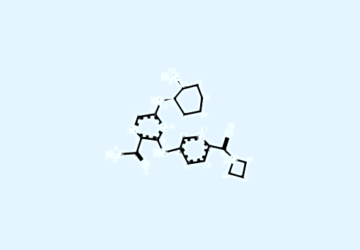 NC(=O)c1ncc(N[C@@H]2CCCC[C@@H]2N)nc1Nc1ccc(C(=O)N2CCC2)nc1